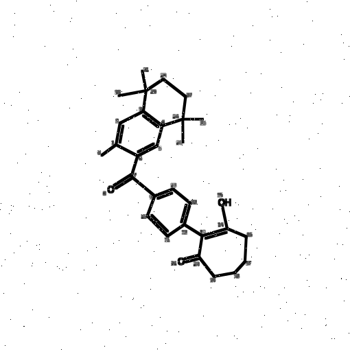 Cc1cc2c(cc1C(=O)c1ccc(C3=C(O)CCCCC3=O)cc1)C(C)(C)CCC2(C)C